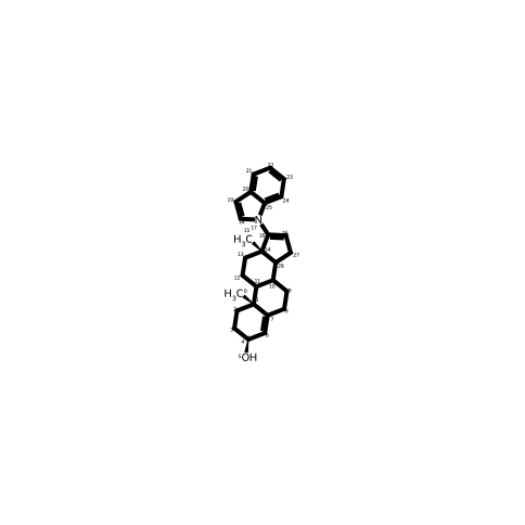 C[C@]12CC[C@H](O)C=C1CCC1C2CC[C@]2(C)C(n3ccc4ccccc43)=CCC12